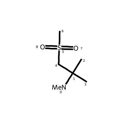 CNC(C)(C)CS(C)(=O)=O